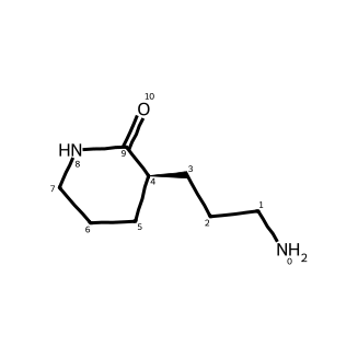 NCCC[C@H]1CCCNC1=O